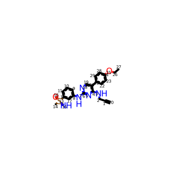 C#CCNc1nc(Nc2cccc(S(C)(=N)=O)c2)ncc1-c1ccc(OCC)cc1